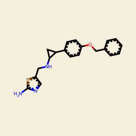 Nc1ncc(CNC2CC2c2ccc(OCc3ccccc3)cc2)s1